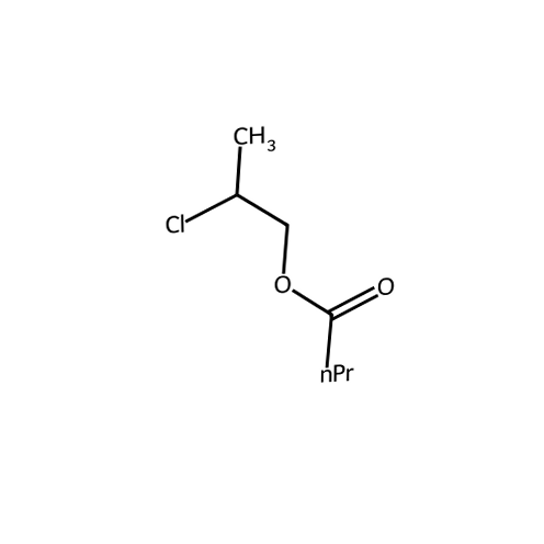 CCCC(=O)OCC(C)Cl